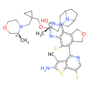 C[C@@H](O)CN1CC2CCC(C1)N2c1nc(OCC2(CN3CCOC[C@@H]3C)CC2)nc2c(F)c(-c3ncc(F)c4sc(N)c(C#N)c34)c3c(c12)COC3